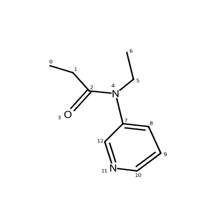 CCC(=O)N(CC)c1cccnc1